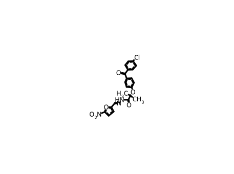 CC(C)(Oc1ccc(C(=O)c2ccc(Cl)cc2)cc1)C(=O)N/N=C/c1ccc([N+](=O)[O-])o1